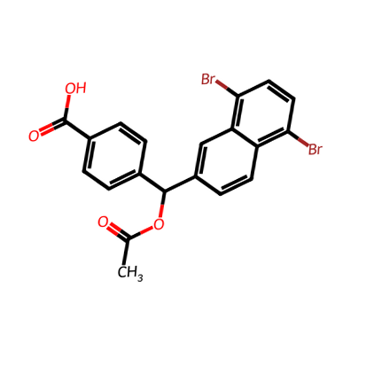 CC(=O)OC(c1ccc(C(=O)O)cc1)c1ccc2c(Br)ccc(Br)c2c1